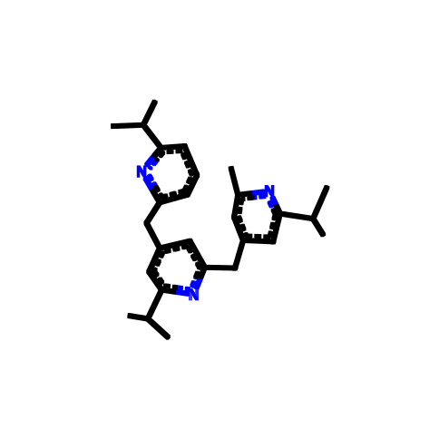 Cc1cc(Cc2cc(Cc3cccc(C(C)C)n3)cc(C(C)C)n2)cc(C(C)C)n1